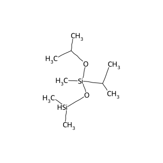 CC(C)O[Si](C)(O[SiH](C)C)C(C)C